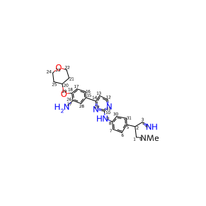 CNCC(C=N)c1ccc(Nc2nccc(-c3ccc(OC4CCOCC4)c(N)c3)n2)cc1